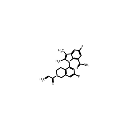 C=CC(=O)N1CCc2c(cc(F)cc2-n2c(C)c(C)c3cc(F)cc(C(N)=O)c32)C1